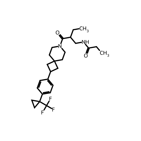 CCC(=O)NCC(CC)C(=O)N1CCC2(CC1)CC(c1ccc(C3(C(F)(F)F)CC3)cc1)C2